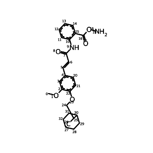 COc1cc(/C=C/C(=O)Nc2ccccc2C(=O)ON)ccc1OCC1CC2CCC1CC2